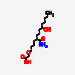 CCCCCC(O)CCCC(CCCCOCC(=O)O)C(N)=O